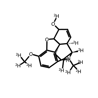 [2H]OC1C=C[C@]2([2H])[C@@]34CCN(C([2H])([2H])[2H])[C@]2([2H])C([2H])([2H])c2ccc(OC([2H])([2H])[2H])c(c23)OC14